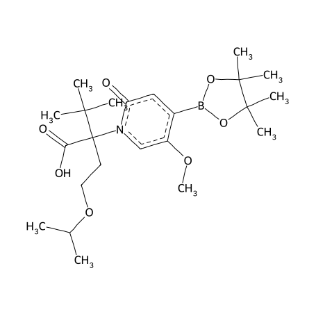 COc1cn(C(CCOC(C)C)(C(=O)O)C(C)(C)C)c(=O)cc1B1OC(C)(C)C(C)(C)O1